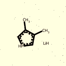 Cc1[c][pH]cc1C.[LiH]